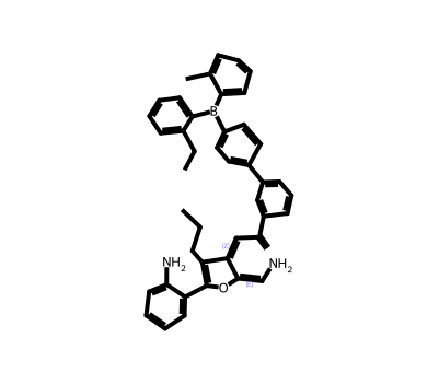 C=C(/C=c1/c(CCC)c(-c2ccccc2N)o/c1=C/N)c1cccc(-c2ccc(B(c3ccccc3C)c3ccccc3CC)cc2)c1